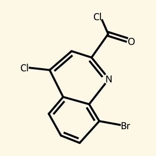 O=C(Cl)c1cc(Cl)c2cccc(Br)c2n1